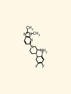 Cc1nc2ccc(N3CC[C@H](C4CC(F)=C(F)C=C4F)C(N)C3)nc2n1C